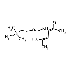 CC/C(C)=C(/C=C(C)C)NCOCC[Si](C)(C)C